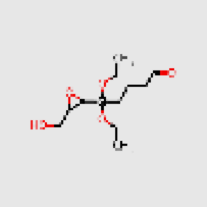 CCO[Si](CCCC=O)(OCC)C1OC1CO